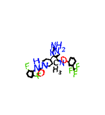 CC(=NOc1cccc(C(F)(F)F)c1)c1cnc(N)nc1C1CCN(C(=O)Nc2c(F)cccc2F)CC1